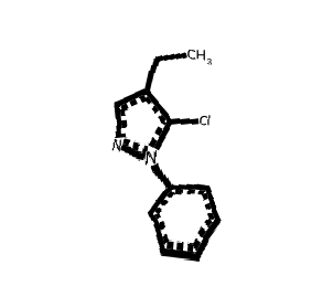 CCc1cnn(-c2ccccc2)c1Cl